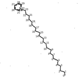 CCCCCCCCCCCCCCCCCCCCCCCC[n+]1ccccc1